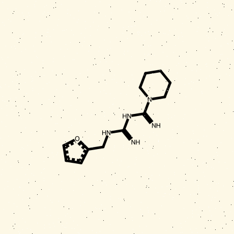 N=C(NCc1ccco1)NC(=N)N1CCCCC1